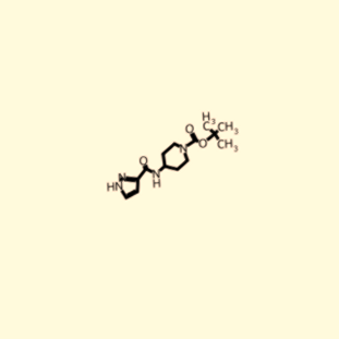 CC(C)(C)OC(=O)N1CCC(NC(=O)c2cc[nH]n2)CC1